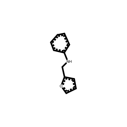 [c]1ccc(NCc2ccco2)cc1